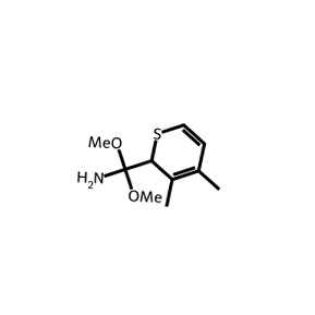 COC(N)(OC)C1SC=CC(C)=C1C